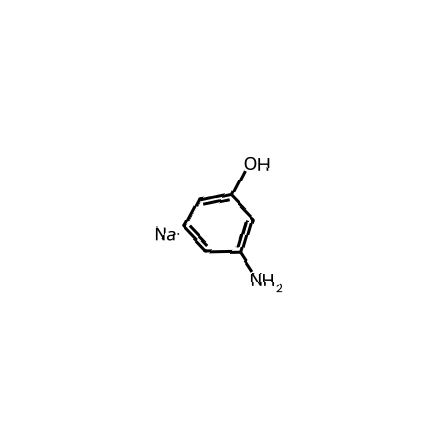 Nc1cccc(O)c1.[Na]